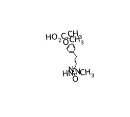 Cn1c(CCCc2ccc(OC(C)(C)C(=O)O)cc2)n[nH]c1=O